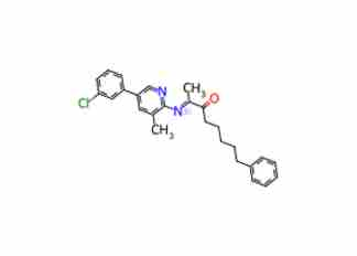 C/C(=N\c1ncc(-c2cccc(Cl)c2)cc1C)C(=O)CCCCCc1ccccc1